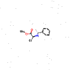 C[CH]C(=N[C@H](C)c1ccccc1)C(=O)OC(C)(C)C